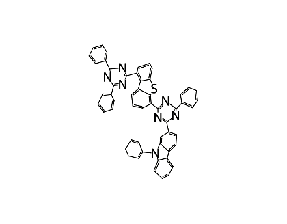 C1=CC(n2c3ccccc3c3ccc(-c4nc(-c5ccccc5)nc(-c5cccc6c5sc5cccc(-c7nc(-c8ccccc8)nc(-c8ccccc8)n7)c56)n4)cc32)=CCC1